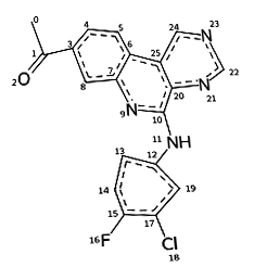 CC(=O)c1ccc2c(c1)nc(Nc1ccc(F)c(Cl)c1)c1ncncc12